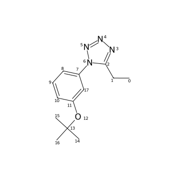 CCc1nnnn1-c1cccc(OC(C)(C)C)c1